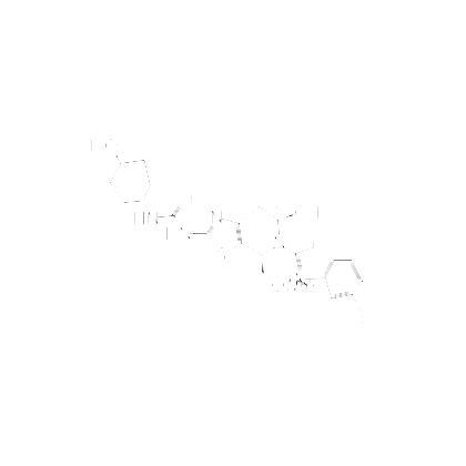 COC[C@H]1c2sc(NC(=O)N[C@H]3CC[C@H](O)CC3)nc2C[C@@H](C)N1c1nc2cc(Cl)ccc2o1